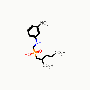 O=C(O)CCC(CP(=O)(O)CNc1cccc([N+](=O)[O-])c1)C(=O)O